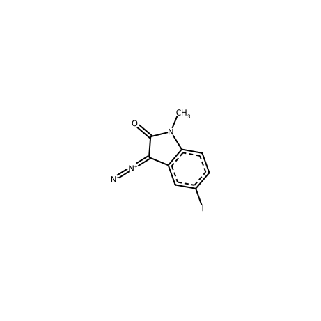 CN1C(=O)C(=[N+]=[N-])c2cc(I)ccc21